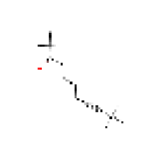 CC(C)(C)C#CCCCCC(=O)C(C)(C)C